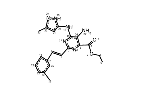 CCOC(=O)c1nc(/C=C/c2cccc(C)c2)nc(Nc2cc(C)n[nH]2)c1N